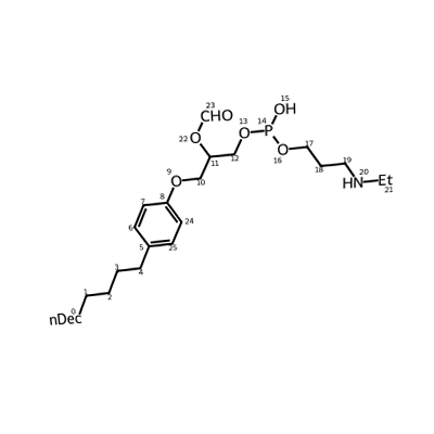 CCCCCCCCCCCCCCc1ccc(OCC(COP(O)OCCCNCC)OC=O)cc1